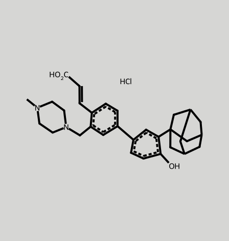 CN1CCN(Cc2cc(-c3ccc(O)c(C45CC6CC(CC(C6)C4)C5)c3)ccc2C=CC(=O)O)CC1.Cl